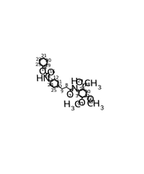 COc1cc(NC(=O)CCc2ccc(NC(=O)Oc3ccccc3)cc2)c(C(C)=O)cc1OC